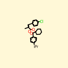 CC(=Cc1ccc(Cl)cc1)C(=O)OC1(C(=O)c2ccc(C(C)C)cc2)CCCCC1